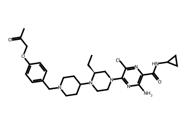 CC[C@H]1CN(c2nc(N)c(C(=O)NC3CC3)nc2Cl)CCN1C1CCN(Cc2ccc(OCC(C)=O)cc2)CC1